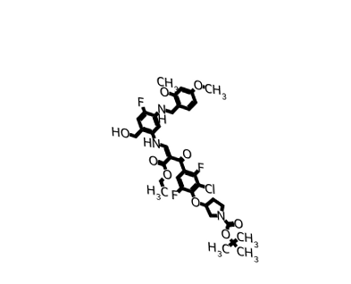 CCOC(=O)C(=CNc1cc(NCc2ccc(OC)cc2OC)c(F)cc1CO)C(=O)c1cc(F)c(OC2CCN(C(=O)OC(C)(C)C)C2)c(Cl)c1F